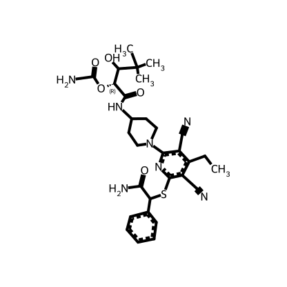 CCc1c(C#N)c(SC(C(N)=O)c2ccccc2)nc(N2CCC(NC(=O)[C@H](OC(N)=O)C(O)C(C)(C)C)CC2)c1C#N